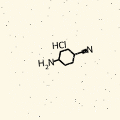 Cl.N#CC1CCC(N)CC1